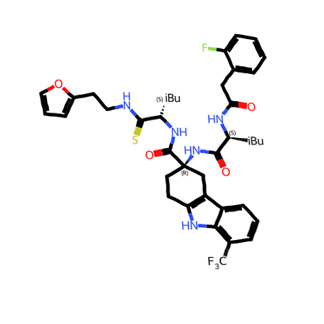 CCC(C)[C@H](NC(=O)Cc1ccccc1F)C(=O)N[C@]1(C(=O)NC(C(=S)NCCc2ccco2)[C@@H](C)CC)CCc2[nH]c3c(C(F)(F)F)cccc3c2C1